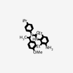 CCc1ccc(N)c(CC)c1NC(=O)N(c1ccc(C(C)C)cc1)C(C)c1ccc(OC)cc1